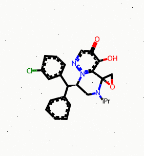 CC(C)N1C[C@@H](C(c2ccccc2)c2cccc(Cl)c2)n2ncc(=O)c(O)c2C12CO2